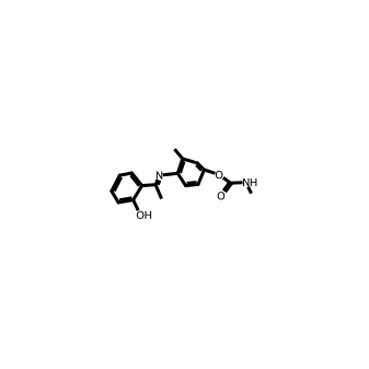 CNC(=O)Oc1ccc(/N=C(\C)c2ccccc2O)c(C)c1